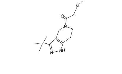 COCC(=O)N1CCc2[nH]nc(C(C)(C)C)c2C1